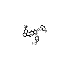 C#Cc1cccc2cc(O)cc(-c3ncc4c(N5CC6CC(O)C(C5)O6)nc(OC[C@@]56CCCN5C[C@H](F)C6)nc4c3F)c12